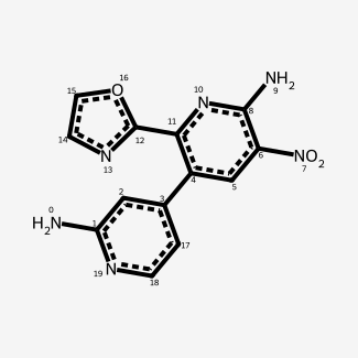 Nc1cc(-c2cc([N+](=O)[O-])c(N)nc2-c2ncco2)ccn1